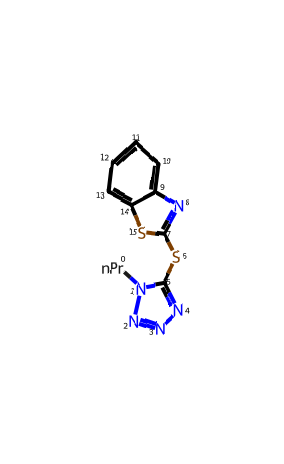 CCCn1nnnc1Sc1nc2ccccc2s1